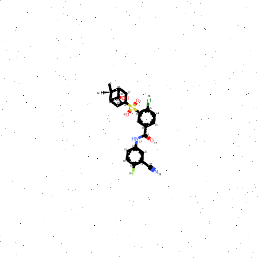 C[C@H]1C2CC(S(=O)(=O)c3cc(C(=O)Nc4ccc(F)c(C#N)c4)ccc3Cl)CC1[C@]2(C)O